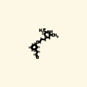 CC1CN(CCCOc2cccc(CC=O)c2)CC(C)N1